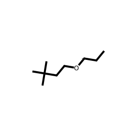 CC[CH]OCCC(C)(C)C